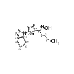 CCCC/C(=N\O)c1ccc(-n2cnc3ccccc32)s1